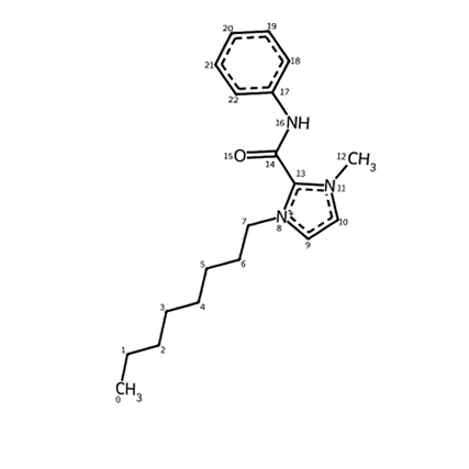 CCCCCCCC[n+]1ccn(C)c1C(=O)Nc1ccccc1